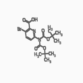 CC(C)(C)OC(=O)N(C(=O)OC(C)(C)C)c1ccc(Br)c(C(=O)O)n1